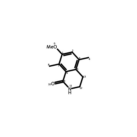 COc1cc(C)c2c(c1C)C(=O)NCC2